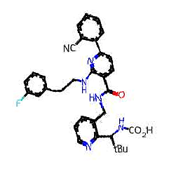 CC(C)(C)C(NC(=O)O)c1ncccc1CNC(=O)c1ccc(-c2ccccc2C#N)nc1NCCc1cccc(F)c1